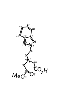 COC(=O)CN(CCn1cc2ccccc2n1)CC(=O)O